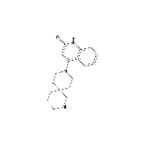 O=c1cc(N2CCC3(CCCNC3)CC2)c2ccccc2[nH]1